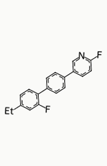 CCc1ccc(-c2ccc(-c3ccc(F)nc3)cc2)c(F)c1